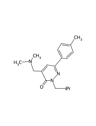 Cc1ccc(-c2cc(CN(C)C)c(=O)n(CC(C)C)n2)cc1